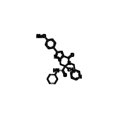 COc1ccc(-c2cc3n(n2)CC(C)(C(=O)NC2CCCCC2)N(Cc2cccnc2)C3=O)cc1